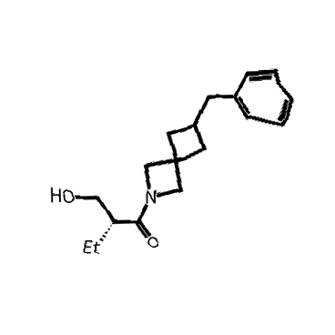 CC[C@H](CO)C(=O)N1CC2(CC(Cc3ccccc3)C2)C1